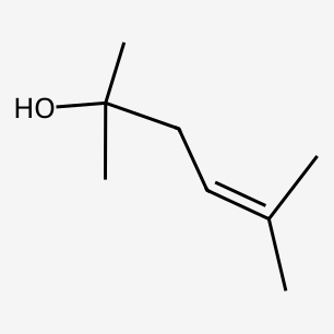 CC(C)=CCC(C)(C)O